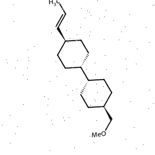 CC=C[C@H]1CC[C@H]([C@H]2CC[C@H](COC)CC2)CC1